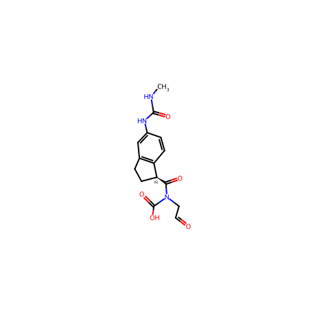 CNC(=O)Nc1ccc2c(c1)CC[C@@H]2C(=O)N(CC=O)C(=O)O